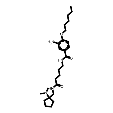 CCCCCCOc1ccc(C(=O)NCCCCC(=O)NCC2(N(C)C)CCCC2)cc1N